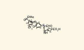 COC(=O)c1ccc(Oc2ccc(/C=C(/C=O)SC(=N)N3CC(C(=O)O)C3)cc2OC)c(C(F)(F)F)c1